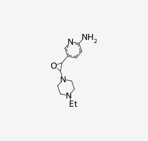 CCN1CCN(C2OC2c2ccc(N)nc2)CC1